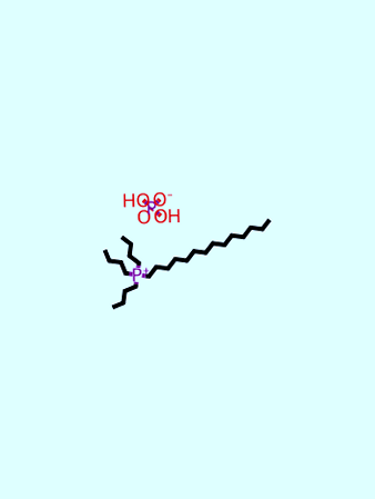 CCCCCCCCCCCCCC[P+](CCCC)(CCCC)CCCC.O=P([O-])(O)O